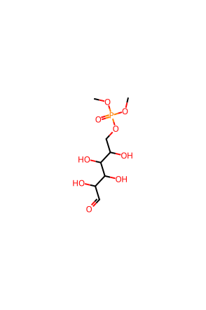 COP(=O)(OC)OCC(O)C(O)C(O)C(O)C=O